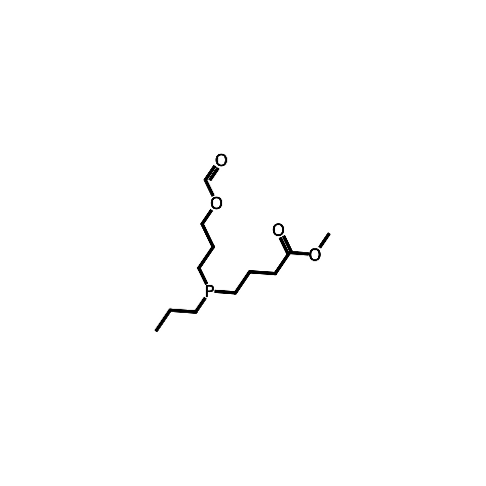 CCCP(CCCOC=O)CCCC(=O)OC